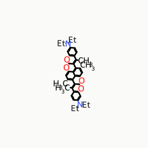 CCN(CC)c1ccc2c(C)c(-c3c(C)ccc4c(-c5c(C)c6ccc(N(CC)CC)cc6oc5=O)c(C)ccc34)c(=O)oc2c1